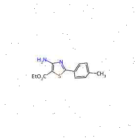 CCOC(=O)c1sc(-c2ccc(C)cc2)nc1N